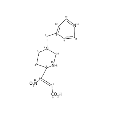 O=C(O)C=C(C1CCN(Cc2ccncc2)CN1)[N+](=O)[O-]